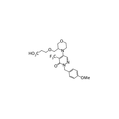 COc1ccc(Cn2ncc(N3CCOCC3COCCC(=O)O)c(C(F)(F)F)c2=O)cc1